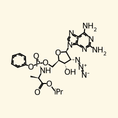 CC(C)OC(=O)[C@@H](C)NP(=O)(OC[C@H]1O[C@@H](n2cnc3c(N)nc(N)nc32)[C@H](N=[N+]=[N-])[C@@H]1O)Oc1ccccc1